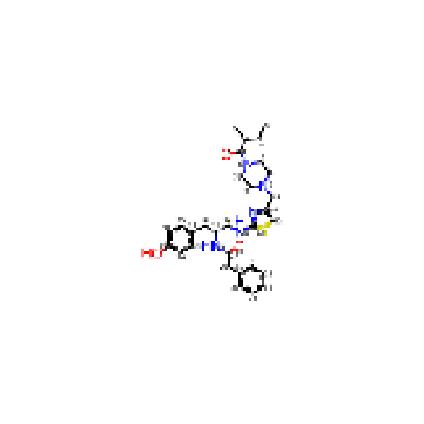 CCC(C)C(=O)N1CCN(Cc2csc(NC[C@H](Cc3ccc(O)cc3)NC(=O)Cc3ccccc3)n2)CC1